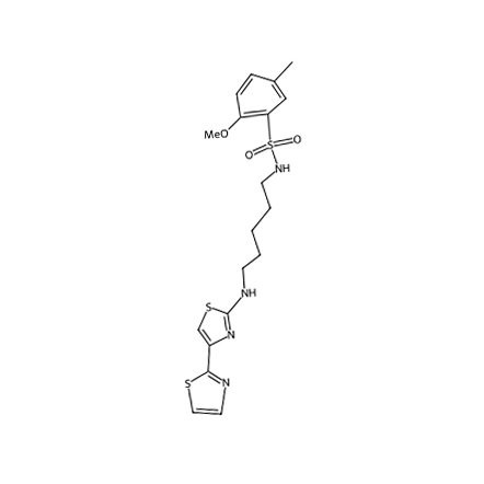 COc1ccc(C)cc1S(=O)(=O)NCCCCCNc1nc(-c2nccs2)cs1